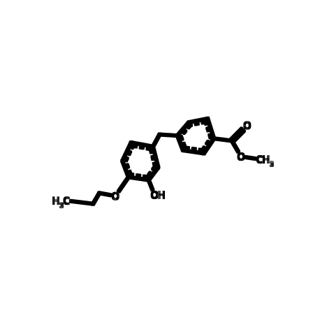 CCCOc1ccc(Cc2ccc(C(=O)OC)cc2)cc1O